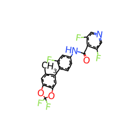 Cc1cc2c(cc1-c1ccc(NC(=O)c3c(F)cncc3F)cc1F)OC(F)(F)O2